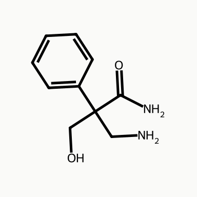 NCC(CO)(C(N)=O)c1ccccc1